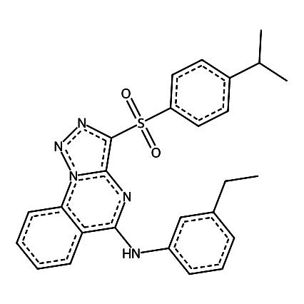 CCc1cccc(Nc2nc3c(S(=O)(=O)c4ccc(C(C)C)cc4)nnn3c3ccccc23)c1